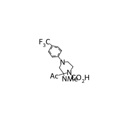 CNC1(C(C)=O)CN(c2ccc(C(F)(F)F)cc2)CCN1C(=O)O